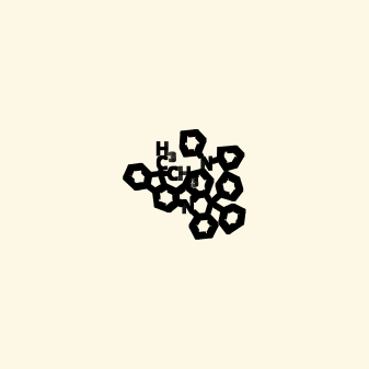 CC1(C)c2ccccc2-c2ccc3c(c21)c1cc(N(c2ccccc2)c2ccccc2)cc2c1n3-c1ccccc1C2(c1ccccc1)c1ccccc1